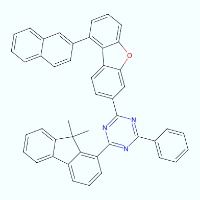 CC1(C)c2ccccc2-c2cccc(-c3nc(-c4ccccc4)nc(-c4ccc5c(c4)oc4cccc(-c6ccc7ccccc7c6)c45)n3)c21